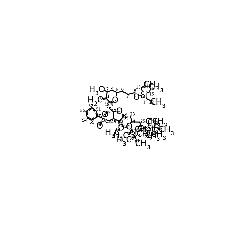 C=C1C(C)CC(CCCO[Si](CC)(CC)CC)O[C@@H]1CC1O[C@H](CC(CO[Si](C)(C)C(C)(C)C)O[Si](C)(C)C(C)(C)C)[C@H](OC)C1CS(=O)(=O)c1ccccc1